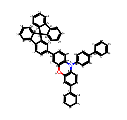 C1=CC(c2ccc3c(c2)Oc2cc(-c4ccc5c(c4)C4(c6ccccc6-c6ccccc64)c4ccccc4-5)ccc2N3c2ccc(-c3ccccc3)cc2)=CCC1